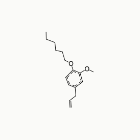 C=CCc1ccc(OCCCCCC)c(OC)c1